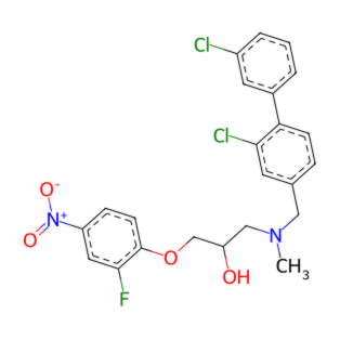 CN(Cc1ccc(-c2cccc(Cl)c2)c(Cl)c1)CC(O)COc1ccc([N+](=O)[O-])cc1F